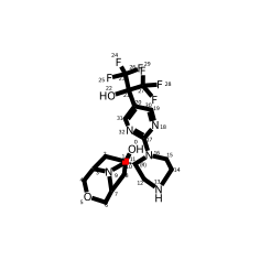 OC1CC2COCC(C1)N2C[C@H]1CNCCN1c1ncc(C(O)(C(F)(F)F)C(F)(F)F)cn1